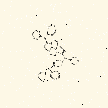 C[Si](c1ccccc1)(c1ccccc1)c1ccc(N(c2ccccc2)c2ccc3ccc4c(N(c5ccccc5)c5ccccc5)ccc5ccc2c3c54)cc1